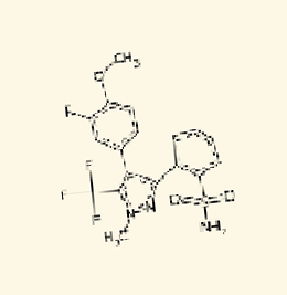 COc1ccc(-c2c(-c3ccccc3S(N)(=O)=O)nn(C)c2C(F)(F)F)cc1F